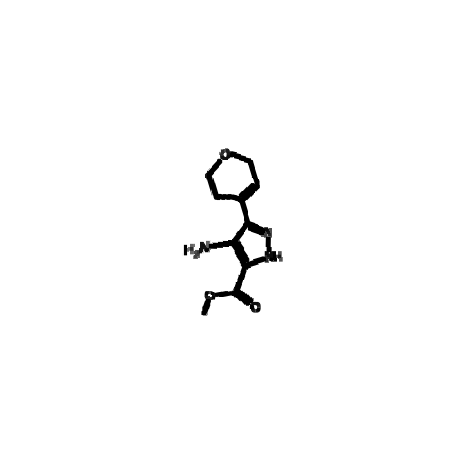 COC(=O)c1[nH]nc(C2=CCOCC2)c1N